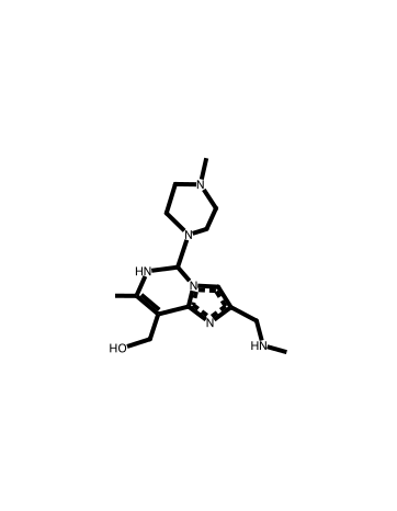 CNCc1cn2c(n1)C(CO)=C(C)NC2N1CCN(C)CC1